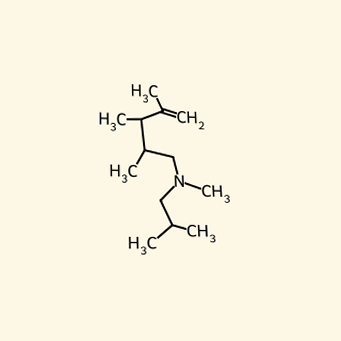 C=C(C)C(C)C(C)CN(C)CC(C)C